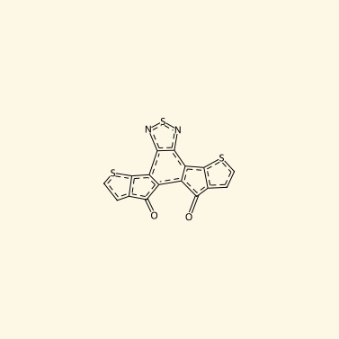 O=c1c2ccsc2c2c3nsnc3c3c4sccc4c(=O)c3c12